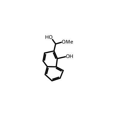 COC(O)c1ccc2ccccc2c1O